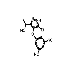 [C-]#[N+]c1cc(C#N)cc(Oc2c(C(C)O)n[nH]c2CC)c1